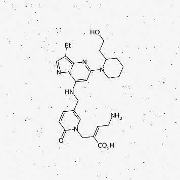 CCc1cnn2c(NCc3ccc(=O)n(CC(=CCN)C(=O)O)c3)cc(N3CCCCC3CCO)nc12